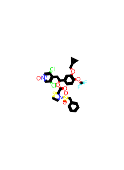 O=C(OC(Cc1c(Cl)c[n+]([O-])cc1Cl)c1ccc(OC(F)F)c(OCC2CC2)c1)C1SCCN1S(=O)(=O)Cc1ccccc1